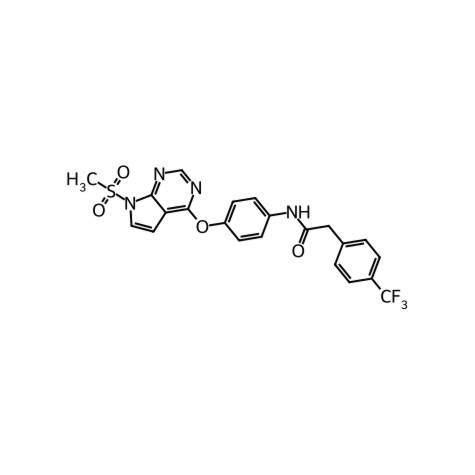 CS(=O)(=O)n1ccc2c(Oc3ccc(NC(=O)Cc4ccc(C(F)(F)F)cc4)cc3)ncnc21